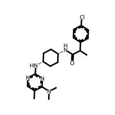 Cc1cnc(N[C@H]2CC[C@@H](NC(=O)C(C)c3ccc(Cl)cc3)CC2)nc1N(C)C